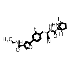 CCNC(=O)c1coc(-c2ccc(C[C@@H](C#N)NC(=O)[C@H]3N[C@@H]4CC[C@H]3C4)c(F)c2)c1